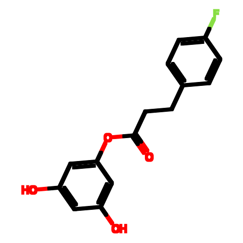 O=C(CCc1ccc(F)cc1)Oc1cc(O)cc(O)c1